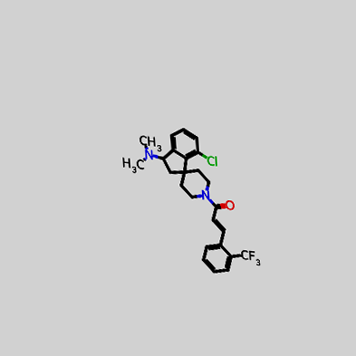 CN(C)C1CC2(CCN(C(=O)/C=C/c3ccccc3C(F)(F)F)CC2)c2c(Cl)cccc21